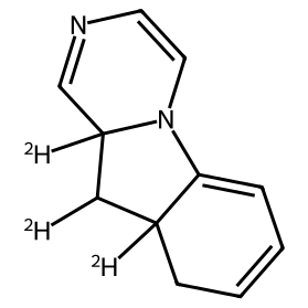 [2H]C1C2([2H])CC=CC=C2N2C=CN=CC12[2H]